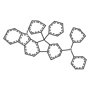 Cn1c2ccccc2c2ccc3c(c21)C(c1ccccc1)(c1ccccc1)c1cc(N(c2ccccc2)c2ccccc2)ccc1-3